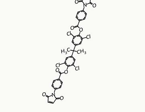 CC(C)(c1cc(Cl)c(OC(=O)c2ccc(N3C(=O)C=CC3=O)cc2)c(Cl)c1)c1cc(Cl)c(OC(=O)c2ccc(N3C(=O)C=CC3=O)cc2)c(Cl)c1